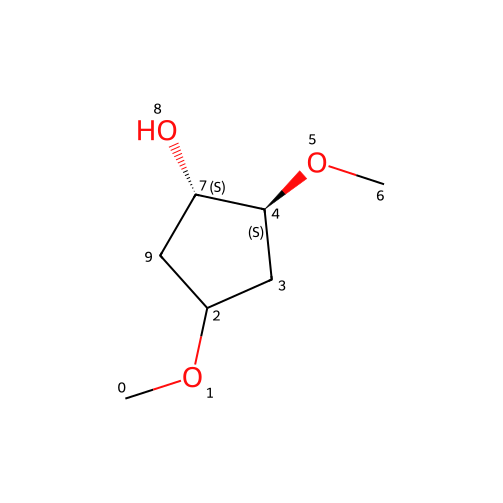 COC1C[C@H](OC)[C@@H](O)C1